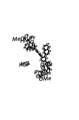 COC(=O)N[C@H](C(=O)N1CCC[C@H]1c1ncc(C#CC#Cc2ccc(-c3cnc([C@@H]4CCCN4C(=O)[C@@H](NC(=O)OC)C(C)C)[nH]3)cc2-c2ccc3ccccc3c2)[nH]1)C(C)C.Cl.Cl